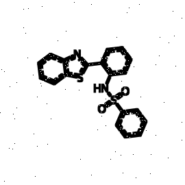 O=S(=O)(Nc1ccccc1-c1nc2ccccc2s1)c1ccccc1